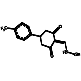 CC(C)(C)NC=C1C(=O)CC(c2ccc(C(F)(F)F)cc2)CC1=O